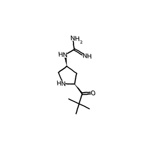 CC(C)(C)C(=O)[C@@H]1C[C@H](NC(=N)N)CN1